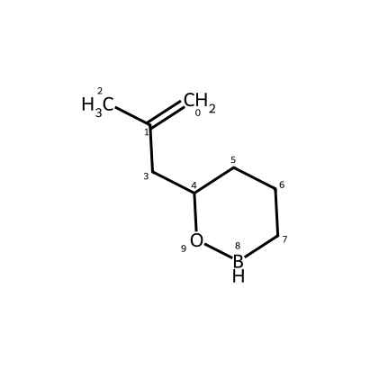 C=C(C)CC1CCCBO1